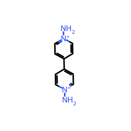 N[n+]1ccc(-c2cc[n+](N)cc2)cc1